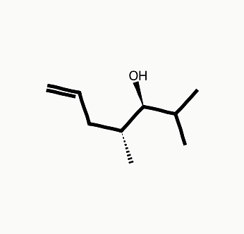 C=CC[C@@H](C)[C@@H](O)C(C)C